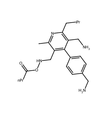 CCCC(=O)ONCc1c(C)nc(CC(C)C)c(CN)c1-c1ccc(CN)cc1